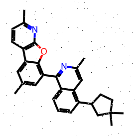 Cc1cc(-c2nc(C)cc3c(C4CCC(C)(C)C4)cccc23)c2oc3nc(C)ccc3c2c1